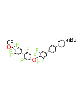 CCCCc1ccc(-c2ccc(-c3cc(F)c(C(F)(F)Oc4cc(F)c(-c5cc(F)c(C(F)(F)OC(F)(F)F)c(F)c5)c(F)c4)c(F)c3)cc2)cc1